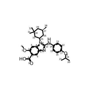 COc1cc2c(cc1C(=O)O)nc(Nc1ccc(OC(C)C)cc1)n2C1C[C@H](C)CC(C)(C)C1